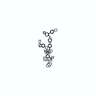 O=C(NS(=O)(=O)c1cc(F)c(NC[C@H]2COCCO2)c([N+](=O)[O-])c1)c1ccc(N2CCN(CC3=C(c4ccc(Cl)cc4)CC4(CCC4)CC3)CC2)cc1Oc1ccc2[nH]ccc2c1